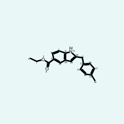 CCOC(=O)c1ccc2[nH]c(Cc3ccc(C)cc3)cc2c1